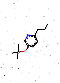 CCCc1ccc(OC(C)(C)C)cn1